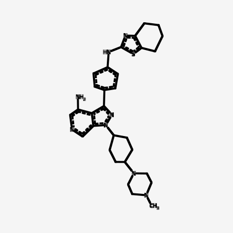 CN1CCN(C2CCC(n3nc(-c4ccc(Nc5nc6c(s5)CCCC6)cc4)c4c(N)cncc43)CC2)CC1